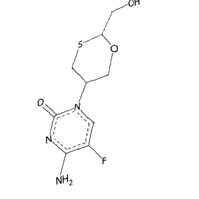 Nc1nc(=O)n(C2COC(CO)SC2)cc1F